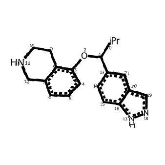 CC(C)C(Oc1cccc2c1CCNC2)c1ccc2[nH]ncc2c1